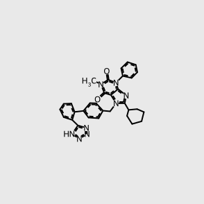 Cn1c(=O)c2c(nc(C3CCCCC3)n2Cc2ccc(-c3ccccc3-c3nnn[nH]3)cc2)n(-c2ccccc2)c1=O